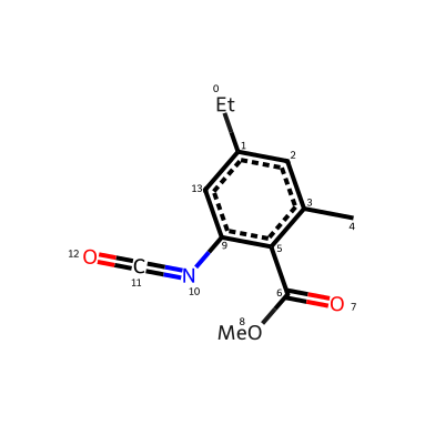 CCc1cc(C)c(C(=O)OC)c(N=C=O)c1